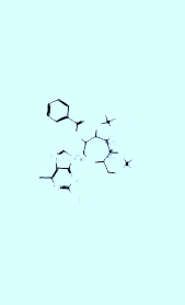 Cc1nc(Cl)c2ncn([C@@H]3OC4COC(C)(C)O[C@H]4[C@@H]4OC(C)(C)OC4C3OC(=O)c3ccccc3)c2n1